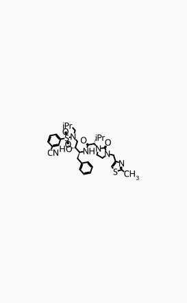 Cc1nc(CN2CCN([C@H](C(=O)N[C@@H](Cc3ccccc3)[C@H](O)CN(CC(C)C)S(=O)(=O)c3cccc(C#N)c3)C(C)C)C2=O)cs1